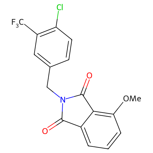 COc1cccc2c1C(=O)N(Cc1ccc(Cl)c(C(F)(F)F)c1)C2=O